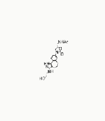 CC(=O)NC[C@H]1CN(c2ccc3c(c2)CCCc2c(NCCO)n[nH]c2-3)C(=O)O1